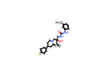 COc1cccc(NC(=O)NCC(O)(CC(C)C)CN2CCC(c3ccc(F)cc3)CC2C)c1